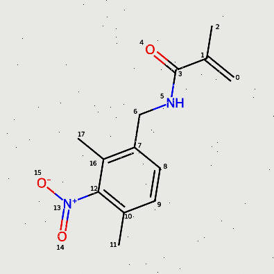 C=C(C)C(=O)NCc1ccc(C)c([N+](=O)[O-])c1C